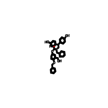 CC(O)C(Oc1ccc(OCc2ccccc2)c(CO)c1)N(Cc1ccccc1)CC(c1ccc(O)cc1)c1ccc(O)cc1